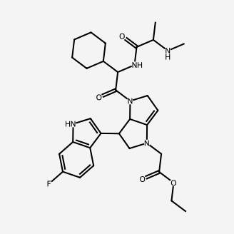 CCOC(=O)CN1CC(c2c[nH]c3cc(F)ccc23)C2C1=CCN2C(=O)C(NC(=O)C(C)NC)C1CCCCC1